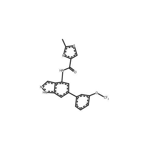 Cc1nc(C(=O)Nc2cc(-c3cccc(OC(F)(F)F)c3)cc3[nH]ncc23)cs1